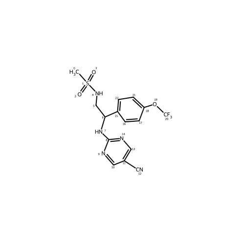 CS(=O)(=O)NCC(Nc1ncc(C#N)cn1)c1ccc(OC(F)(F)F)cc1